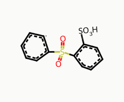 O=S(=O)(O)c1ccccc1S(=O)(=O)c1[c]cccc1